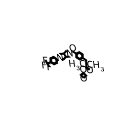 CC(C)(Cc1ccc(C(=O)N2CC3CN(c4ccc(C(F)(F)F)cc4)CC3C2)cc1)C(=O)OC1COC1